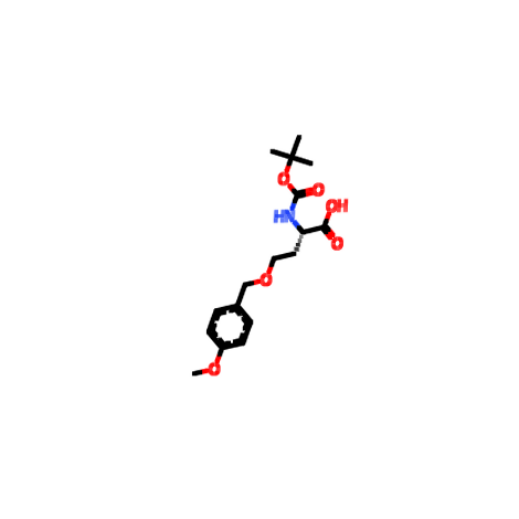 COc1ccc(COCC[C@H](NC(=O)OC(C)(C)C)C(=O)O)cc1